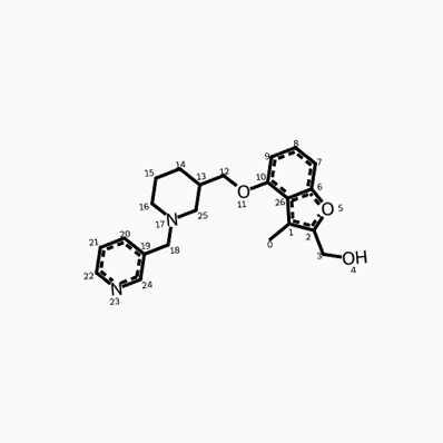 Cc1c(CO)oc2cccc(OCC3CCCN(Cc4cccnc4)C3)c12